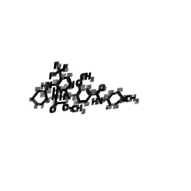 COCC(=O)N[C@@H]1CCCC[C@H]1Nc1nc(Nc2ccc(C(=O)NC3CCN(C)CC3)cc2OC)ncc1C(F)(F)F